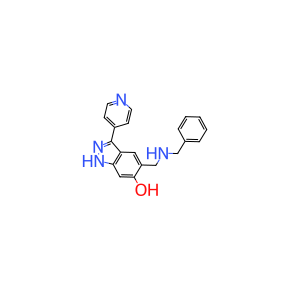 Oc1cc2[nH]nc(-c3ccncc3)c2cc1CNCc1ccccc1